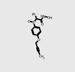 CC#CCOc1ccc([S+]([O-])C(C(=O)NO)C(C)C)cc1